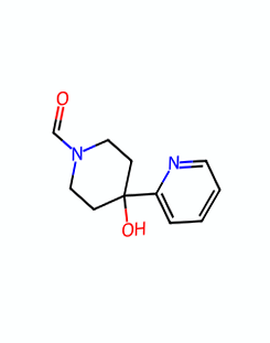 O=CN1CCC(O)(c2ccccn2)CC1